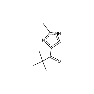 Cc1nc(C(=O)C(C)(C)C)c[nH]1